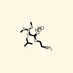 CSN(SC)[C@@H](CC(C)C)C(=O)OCCN.Cl.Cl